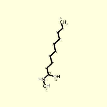 CCCCCCCCCC(O)NO